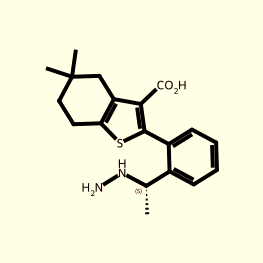 C[C@H](NN)c1ccccc1-c1sc2c(c1C(=O)O)CC(C)(C)CC2